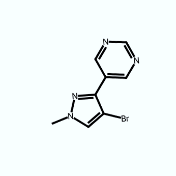 Cn1cc(Br)c(-c2cncnc2)n1